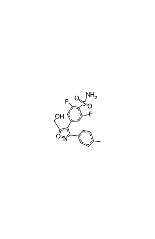 Cc1ccc(-c2noc(CO)c2-c2cc(F)c(S(N)(=O)=O)c(F)c2)cc1